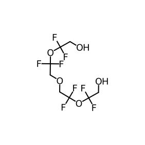 OCC(F)(F)OC(F)(F)COCC(F)(F)OC(F)(F)CO